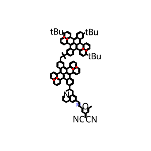 CC1=CC(=C(C#N)C#N)C=C(/C=C/c2cc3c4c(c2)CC(c2ccc5c(-c6ccccc6)c6c(-c7ccccc7)c7cc(CC(C)(C)c8ccc9c(-c%10ccc(C(C)(C)C)cc%10)c%10c(-c%11ccccc%11)c%11cc(C(C)(C)C)ccc%11c(-c%11ccc(C(C)(C)C)cc%11)c%10c(-c%10ccccc%10)c9c8)ccc7c(-c7ccccc7)c6c(-c6ccccc6)c5c2)CN4CCC3)O1